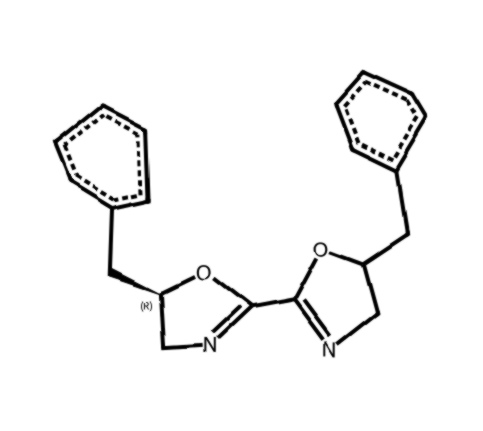 c1ccc(CC2CN=C(C3=NC[C@@H](Cc4ccccc4)O3)O2)cc1